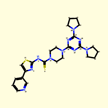 S=C(Nc1nc(-c2cccnc2)cs1)N1CCN(c2nc(N3CCCC3)nc(N3CCCC3)n2)CC1